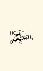 C=C(C)C(=O)O.CCOC(=O)CCC=O